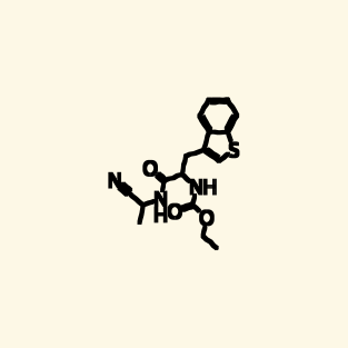 CCOC(=O)NC(Cc1csc2ccccc12)C(=O)NC(C)C#N